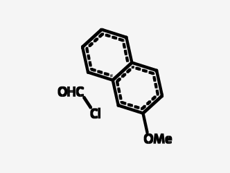 COc1ccc2ccccc2c1.O=CCl